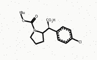 CC(C)(C)OC(=O)N1CCCC1[C@@H](C(=O)O)c1ccc(Cl)cc1